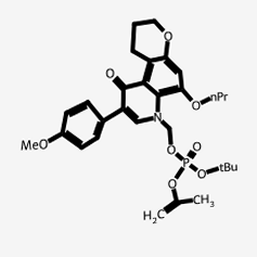 C=C(C)OP(=O)(OCn1cc(-c2ccc(OC)cc2)c(=O)c2c3c(cc(OCCC)c21)OCCC3)OC(C)(C)C